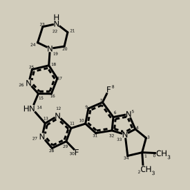 CC1(C)Cc2nc3c(F)cc(-c4nc(Nc5ccc(N6CCNCC6)cn5)ncc4F)cc3n2C1